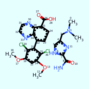 CN(C)Cc1c[nH]c(C(N)=O)n1.COc1cc(OC)c(Cl)c(-c2ccc(C(=O)O)c3nccnc23)c1Cl